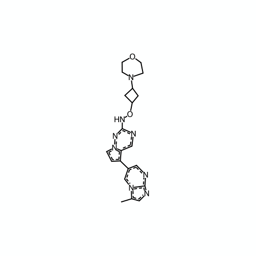 Cc1cnc2ncc(-c3ccn4nc(NOC5CC(N6CCOCC6)C5)ncc34)cn12